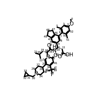 COc1cc(C)c(-c2cc([C@H](CC(=O)O)NC(=O)[C@@H](CC(C)C)n3cc(C4CCN(CC5CC5)CC4)c(C(F)(F)F)cc3=O)cc3c2CCC3)c(C)c1